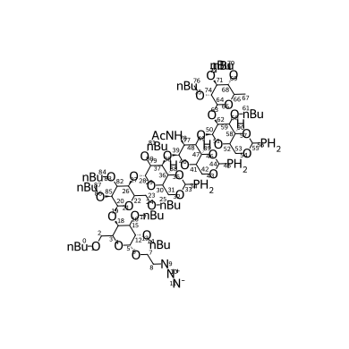 CCCCOCC1O[C@@H](OCCN=[N+]=[N-])[C@@H](OCCCC)C(OCCCC)[C@@H]1O[C@@H]1OC(COCCCC)[C@H](O[C@H]2OC3COC(P)O[C@@H]3[C@H](O[C@@H]3OC4COC(P)O[C@@H]4C(O[C@@H]4OC5COC(P)O[C@@H]5C(OCCCC)[C@@H]4OC4OC(C)[C@@H](OCCCC)[C@H](OCCCC)[C@H]4OCCCC)[C@@H]3NC(C)=O)C2OCCCC)C(OCCCC)[C@@H]1OCCCC